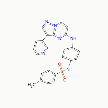 Cc1ccc(S(=O)(=O)Nc2ccc(Nc3ccn4ncc(-c5cccnc5)c4n3)cc2)cc1